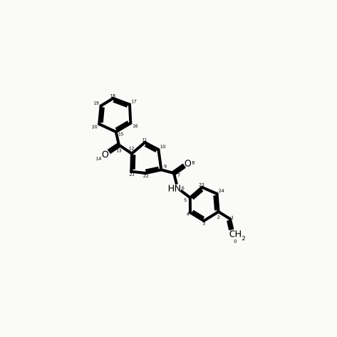 C=Cc1ccc(NC(=O)c2ccc(C(=O)c3ccccc3)cc2)cc1